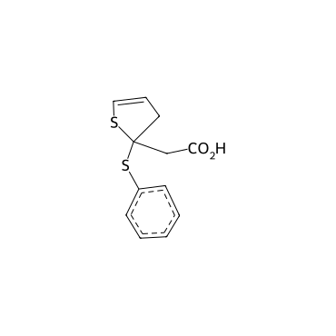 O=C(O)CC1(Sc2ccccc2)CC=CS1